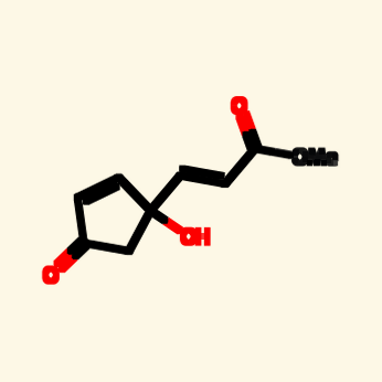 COC(=O)C=CC1(O)C=CC(=O)C1